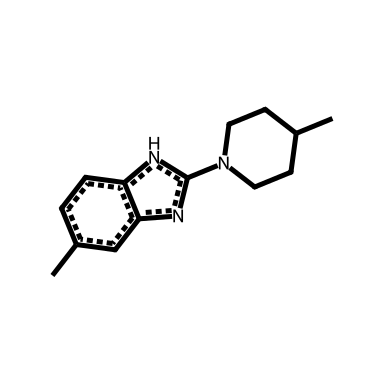 Cc1ccc2[nH]c(N3CCC(C)CC3)nc2c1